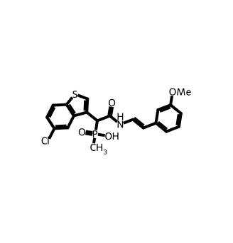 COc1cccc(C=CNC(=O)C(c2csc3ccc(Cl)cc23)P(C)(=O)O)c1